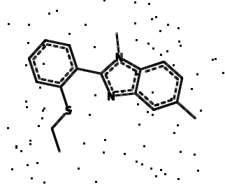 CCSc1ccccc1-c1nc2cc(C)ccc2n1C